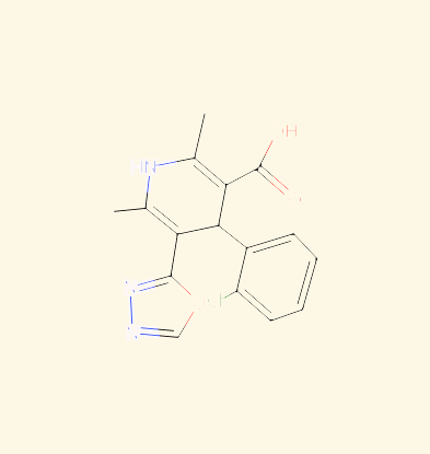 CC1=C(C(=O)O)C(c2ccccc2Cl)C(c2nnco2)=C(C)N1